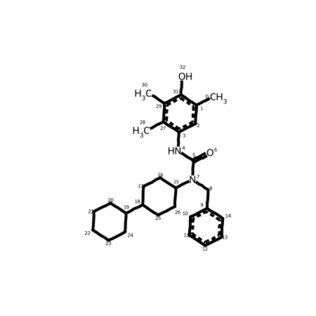 Cc1cc(NC(=O)N(Cc2ccccc2)C2CCC(C3CCCCC3)CC2)c(C)c(C)c1O